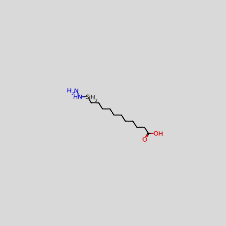 NN[SiH2]CCCCCCCCCCC(=O)O